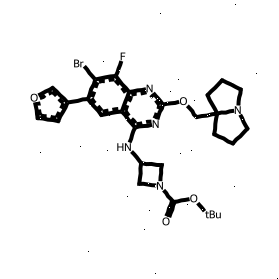 CC(C)(C)OC(=O)N1CC(Nc2nc(OCC34CCCN3CCC4)nc3c(F)c(Br)c(-c4ccoc4)cc23)C1